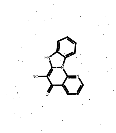 N#Cc1c(=O)c2cccnc2n2c1[nH]c1ccccc12